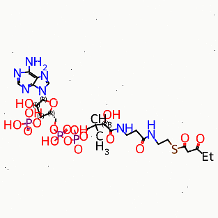 CCC(=O)CC(=O)SCCNC(=O)CCNC(=O)[C@H](O)C(C)(C)COP(=O)(O)OP(=O)(O)OC[C@H]1O[C@@H](n2cnc3c(N)ncnc32)[C@H](O)[C@@H]1OP(=O)(O)O